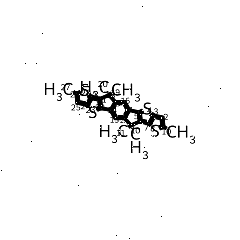 Cc1cc2sc3c(c2s1)C(C)(C)c1cc2c(cc1-3)C(C)(C)c1c-2sc2cc(C)sc12